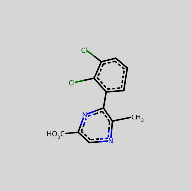 Cc1ncc(C(=O)O)nc1-c1cccc(Cl)c1Cl